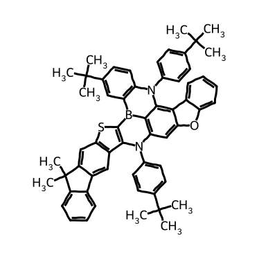 CC(C)(C)c1ccc(N2c3cc4oc5ccccc5c4c4c3B(c3cc(C(C)(C)C)ccc3N4c3ccc(C(C)(C)C)cc3)c3sc4cc5c(cc4c32)-c2ccccc2C5(C)C)cc1